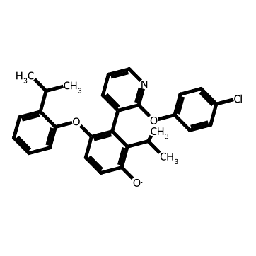 CC(C)c1ccccc1Oc1ccc([O])c(C(C)C)c1-c1cccnc1Oc1ccc(Cl)cc1